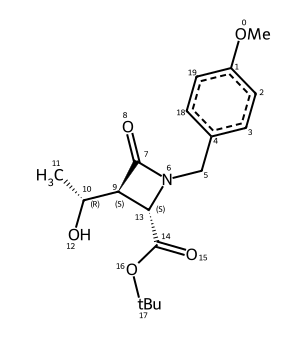 COc1ccc(CN2C(=O)[C@H]([C@@H](C)O)[C@H]2C(=O)OC(C)(C)C)cc1